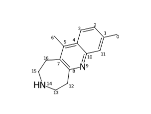 Cc1ccc2c(C)c3c(nc2c1)CCNCC3